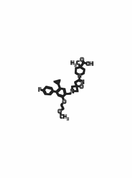 COCCOc1cc(-c2ccc(F)cc2)c(C2CC2)cc1CN1CC2(CC(N3CCC(C)(C(=O)O)CC3)=NO2)C1